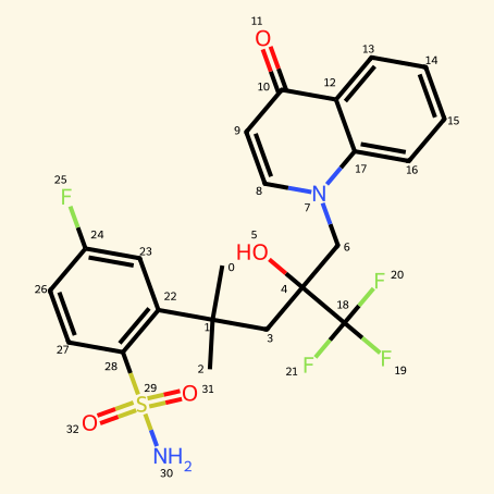 CC(C)(CC(O)(Cn1ccc(=O)c2ccccc21)C(F)(F)F)c1cc(F)ccc1S(N)(=O)=O